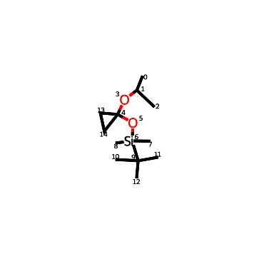 CC(C)OC1(O[Si](C)(C)C(C)(C)C)CC1